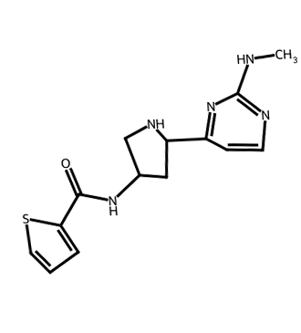 CNc1nccc(C2CC(NC(=O)c3cccs3)CN2)n1